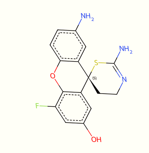 NC1=NCC[C@]2(S1)c1cc(N)ccc1Oc1c(F)cc(O)cc12